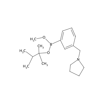 COB(OC(C)(C)C(C)C)c1cccc(CN2CCCC2)c1